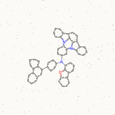 c1ccc2c(c1)cc(-c1ccc(N(c3ccc4c(c3)n3c5ccccc5c5ccc6c7ccccc7n4c6c53)c3cccc4c3oc3ccccc34)cc1)c1ccccc12